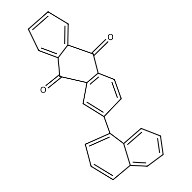 O=C1c2ccccc2C(=O)c2cc(-c3cccc4ccccc34)ccc21